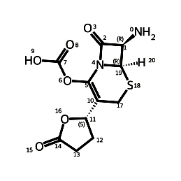 N[C@@H]1C(=O)N2C(OC(=O)O)=C([C@@H]3CCC(=O)O3)CS[C@H]12